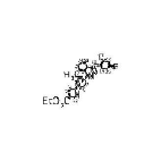 CCOC(=O)c1ccc(N2CCN(c3nnc(Cc4ccc(F)cc4F)c4ccccc34)[C@@H](C)C2)nc1